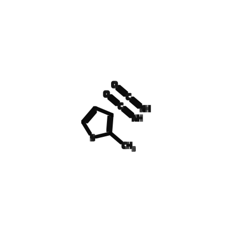 Cc1cccs1.N=C=O.N=C=O